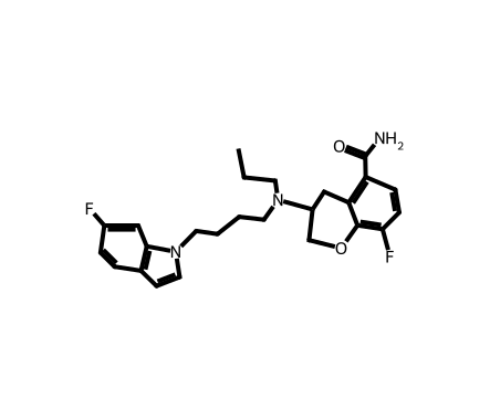 CCCN(CCCCn1ccc2ccc(F)cc21)C1COc2c(F)ccc(C(N)=O)c2C1